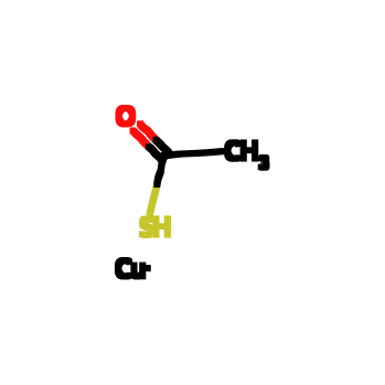 CC(=O)S.[Cu]